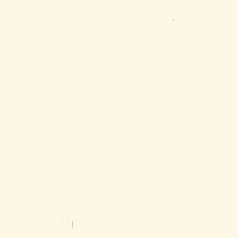 O=C(CBr)c1ccc(C2CC2)cc1